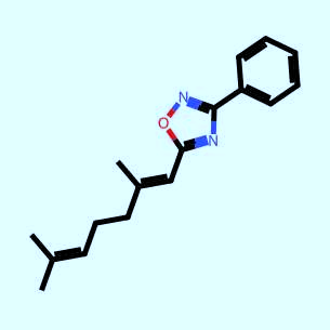 CC(C)=CCC/C(C)=C/c1nc(-c2ccccc2)no1